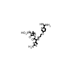 CC1(C)[C@H](NC(=O)/C(=N\OCCOc2ccc(C(=N)N)nc2)c2csc(N)n2)C(=O)N1OS(=O)(=O)O